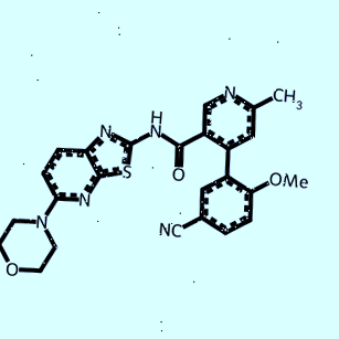 COc1ccc(C#N)cc1-c1cc(C)ncc1C(=O)Nc1nc2ccc(N3CCOCC3)nc2s1